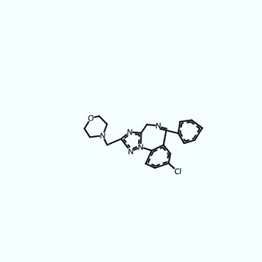 Clc1ccc2c(c1)C(c1ccccc1)=NCc1nc(CN3CCOCC3)nn1-2